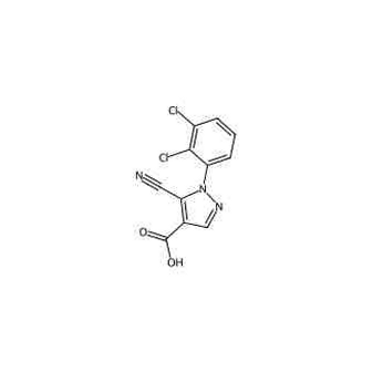 N#Cc1c(C(=O)O)cnn1-c1cccc(Cl)c1Cl